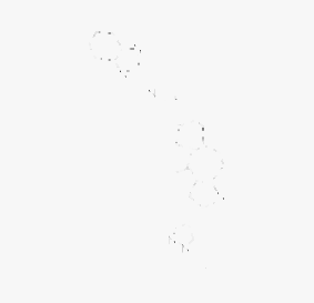 Cn1cc(-c2cnc3ccc4ccc(C[S+]([O-])NCc5nc6ccccc6[nH]5)cc4c(=O)c3c2)cn1